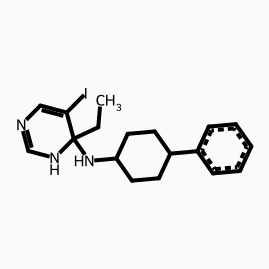 CCC1(NC2CCC(c3ccccc3)CC2)NC=NC=C1I